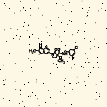 CO[C@]1(C(=O)NCc2cc(F)cc(Cl)c2)CCN(c2cnc3[nH]c(C)cc3c2)C1=O